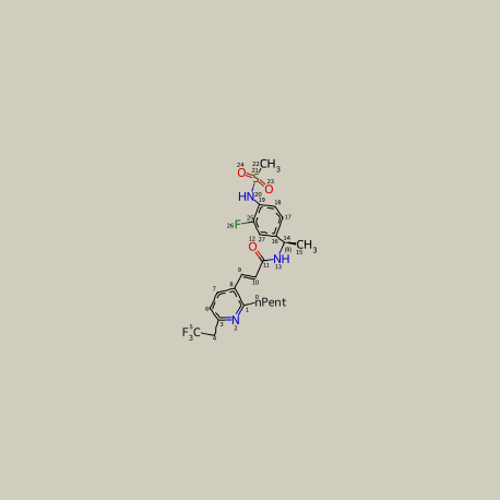 CCCCCc1nc(CC(F)(F)F)ccc1C=CC(=O)N[C@H](C)c1ccc(NS(C)(=O)=O)c(F)c1